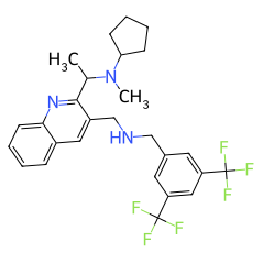 CC(c1nc2ccccc2cc1CNCc1cc(C(F)(F)F)cc(C(F)(F)F)c1)N(C)C1CCCC1